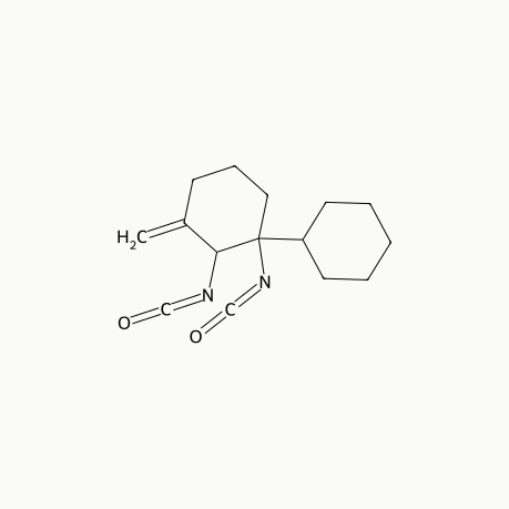 C=C1CCCC(N=C=O)(C2CCCCC2)C1N=C=O